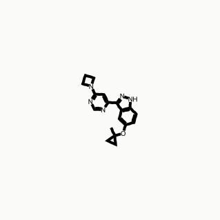 CC1(Oc2ccc3[nH]nc(-c4cc(N5CCC5)ncn4)c3c2)CC1